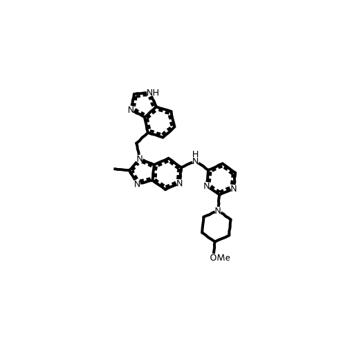 COC1CCN(c2nccc(Nc3cc4c(cn3)nc(C)n4Cc3cccc4[nH]cnc34)n2)CC1